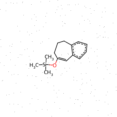 C[Si](C)(C)OC1=Cc2ccccc2CCC1